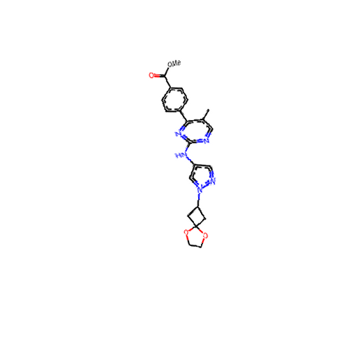 COC(=O)c1ccc(-c2nc(Nc3cnn(C4CC5(C4)OCCO5)c3)ncc2C)cc1